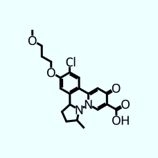 COCCCOc1cc2c(cc1Cl)-c1cc(=O)c(C(=O)O)cn1N1C(C)CCC21